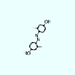 Cc1cc(O)ccc1N=Nc1ccc(O)cc1C